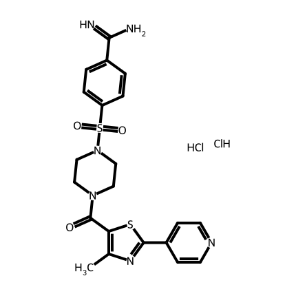 Cc1nc(-c2ccncc2)sc1C(=O)N1CCN(S(=O)(=O)c2ccc(C(=N)N)cc2)CC1.Cl.Cl